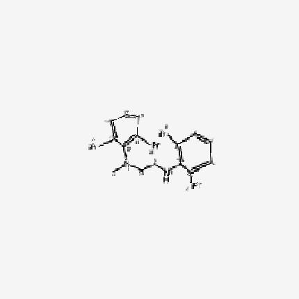 CC(C)c1cccc(C(C)C)c1NCCN(C)c1c(C(C)C)cccc1C(C)C